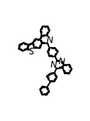 c1ccc(-c2ccc(-c3nc(-c4ccc(-c5nc6ccccc6c6cc7c(cc56)sc5ccccc57)cc4)nc4ccccc34)cc2)cc1